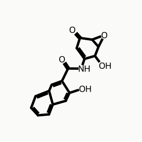 O=C(NC1=CC(=O)C2OC2C1O)c1cc2ccccc2cc1O